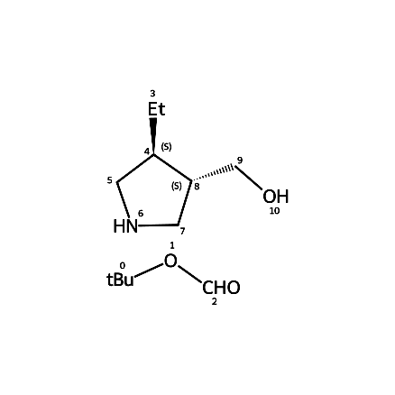 CC(C)(C)OC=O.CC[C@@H]1CNC[C@H]1CO